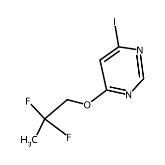 CC(F)(F)COc1cc(I)ncn1